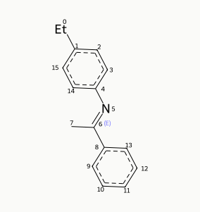 CCc1ccc(/N=C(\C)c2ccccc2)cc1